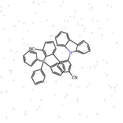 N#Cc1ccc(-c2cccc(C#N)c2[Si](c2ccccc2)(c2ccccc2)c2ccccc2)c(-n2c3ccccc3c3ccccc32)c1